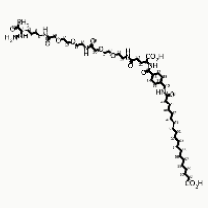 NN[C@@H](CCCCNC(=O)COCCOCCNC(=O)COCCOCCNC(=O)CCC(NC(=O)C1CCC(CNC(=O)CCCCCCCCCCCCCCCCCCC(=O)O)CC1)C(=O)O)C(=O)P